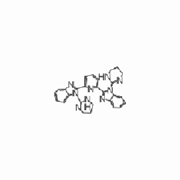 c1cc(-c2nc3ccccc3n2C2=NCCCN2)nc(-c2nc3ccccc3n2C2=NCCCN2)c1